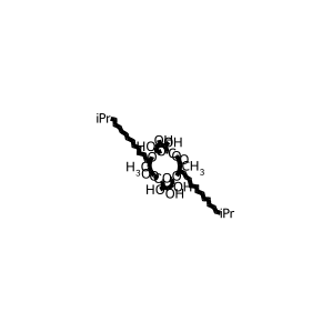 CC(C)CCCCCCCCCCCCC1OC2OC(COC(=O)C(C)C(CCCCCCCCCCCCC(C)C)OC3OC(COC(=O)C1C)C(O)C(O)C3O)C(O)C(O)C2O